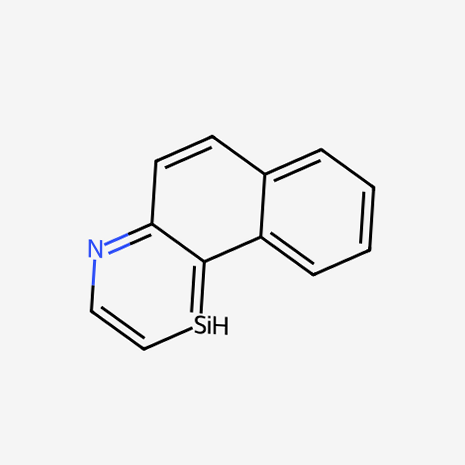 c1ccc2c(c1)ccc1ncc[siH]c12